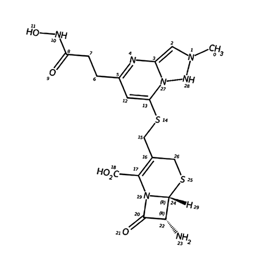 CN1C=C2N=C(CCC(=O)NO)C=C(SCC3=C(C(=O)O)N4C(=O)[C@@H](N)[C@H]4SC3)N2N1